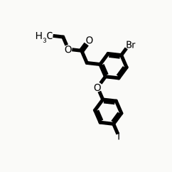 CCOC(=O)Cc1cc(Br)ccc1Oc1ccc(I)cc1